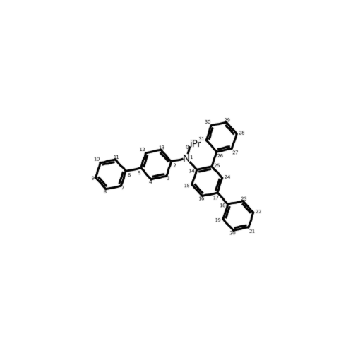 CC(C)N(c1ccc(-c2ccccc2)cc1)c1ccc(-c2ccccc2)cc1-c1ccccc1